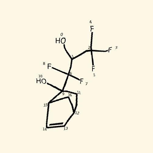 OC(C(F)(F)F)C(F)(F)C1(O)CC2C=CC1C2